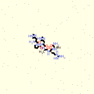 CC[C@H](C)[C@H](NC(=O)[C@H](CCCNC(=N)N)NC(=O)[C@H](C)NC(=O)[C@H](Cc1c[nH]cn1)NC(=O)[C@@H]1CCCN1C(=O)[C@@H](N)Cc1c[nH]cn1)C(N)=O